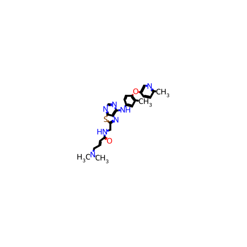 Cc1ccc(Oc2ccc(Nc3ncnc4sc(CNC(=O)C=CCN(C)C)nc34)cc2C)cn1